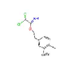 COc1cc(CCOC(=N)C(Cl)Cl)ccc1C